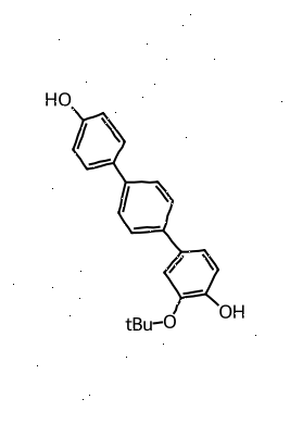 CC(C)(C)Oc1cc(-c2ccc(-c3ccc(O)cc3)cc2)ccc1O